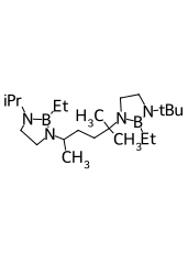 CCB1N(C(C)C)CCN1C(C)CCC(C)(C)N1CCN(C(C)(C)C)B1CC